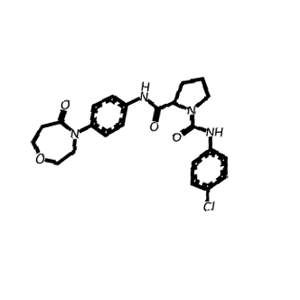 O=C(Nc1ccc(N2CCOCCC2=O)cc1)C1CCCN1C(=O)Nc1ccc(Cl)cc1